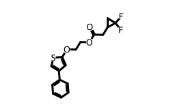 O=C(CC1CC1(F)F)OCCOc1cc(-c2ccccc2)cs1